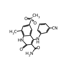 Cc1cc(S(C)(=O)=O)cc2c(Nc3cccc(C#N)c3)c(C(N)=O)c(=O)[nH]c12